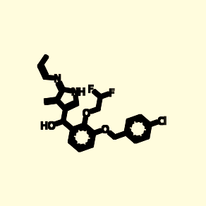 C=C1C(C(O)c2cccc(OCc3ccc(Cl)cc3)c2OCC(F)F)=CN/C1=N/C=C\C